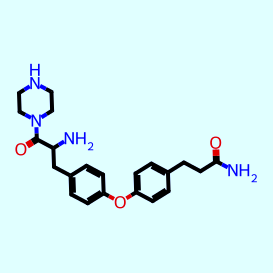 NC(=O)CCc1ccc(Oc2ccc(CC(N)C(=O)N3CCNCC3)cc2)cc1